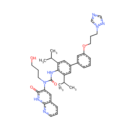 CC(C)c1cc(-c2cccc(OCCCn3cncn3)c2)cc(C(C)C)c1NC(=O)N(CCCO)c1cc2cccnc2[nH]c1=O